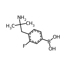 CC(C)(N)Cc1ccc(B(O)O)cc1F